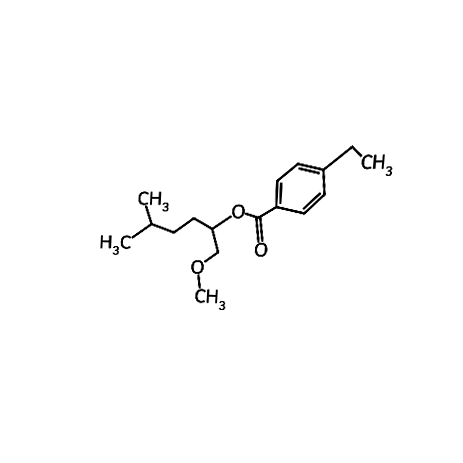 CCc1ccc(C(=O)OC(CCC(C)C)COC)cc1